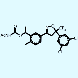 CC(=O)NC(=O)OC(C)c1cc(C2=NOC(c3cc(Cl)cc(Cl)c3)(C(F)(F)F)C2)ccc1C